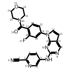 N#Cc1ccc(Nc2ncc3ccn(-c4ccc(C(=O)N5CCOCC5)c(F)c4)c3n2)cn1